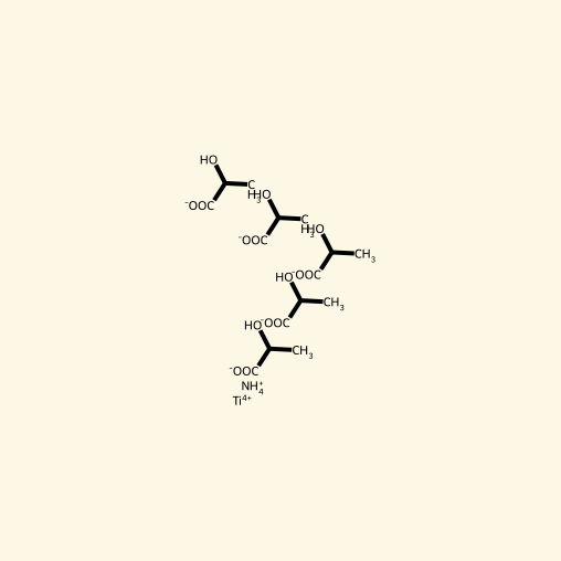 CC(O)C(=O)[O-].CC(O)C(=O)[O-].CC(O)C(=O)[O-].CC(O)C(=O)[O-].CC(O)C(=O)[O-].[NH4+].[Ti+4]